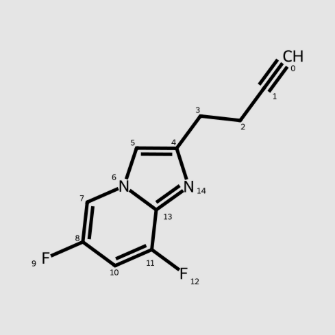 C#CCCc1cn2cc(F)cc(F)c2n1